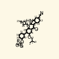 CC(C)COc1cc2c(=O)c3c4ccc(C#N)cc4[nH]c3n(C3CN(C)C3)c2cc1-c1cccc(OS(=O)(=O)F)c1